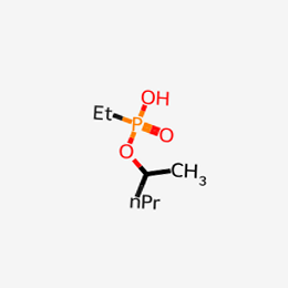 CCCC(C)OP(=O)(O)CC